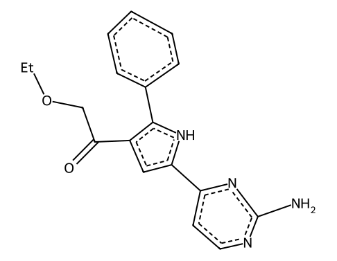 CCOCC(=O)c1cc(-c2ccnc(N)n2)[nH]c1-c1ccccc1